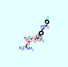 CC(N)COC(=O)OC(C)OC(=O)C(C)(C)Oc1ccc(CCNC(=O)c2ccc(Cl)cc2)cc1